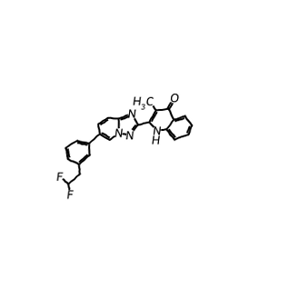 Cc1c(-c2nc3ccc(-c4cccc(CC(F)F)c4)cn3n2)[nH]c2ccccc2c1=O